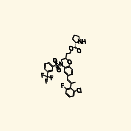 C/C(=C\c1ccc2c(c1)N(S(=O)(=O)c1cccc(C(F)(F)F)c1)CC(CCOC(=O)[C@@H]1CCCN1)O2)c1c(F)cccc1Cl